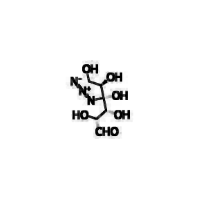 [N-]=[N+]=N[C@@](O)([C@H](O)CO)[C@H](O)[C@@H](O)C=O